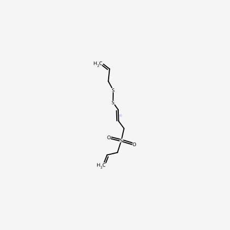 C=CCSS/C=C/CS(=O)(=O)CC=C